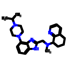 CC(C)N1CCN(c2cccc3[nH]c(CN(C)C4CCCc5cccnc54)nc23)CC1